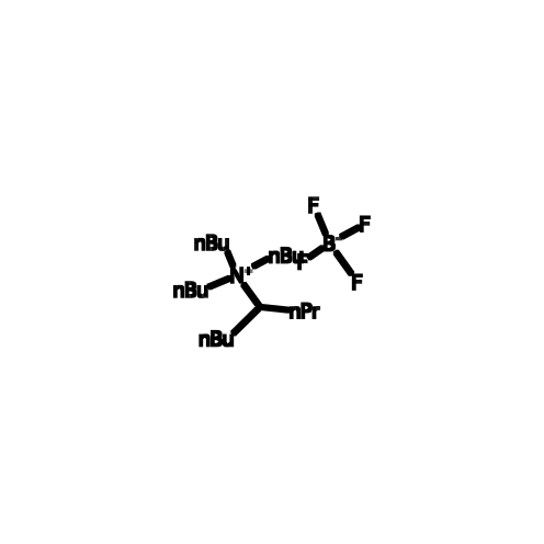 CCCCC(CCC)[N+](CCCC)(CCCC)CCCC.F[B-](F)(F)F